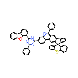 c1ccc(-c2nc(-c3ccc4c(c3)nc(-c3ccccc3)c3cc5c(cc34)C3(c4ccccc4Sc4ccccc43)c3ccccc3-5)nc(-c3cccc4c3oc3ccccc34)n2)cc1